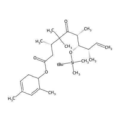 C=C[C@H](C)[C@H](O[Si](C)(C)C(C)(C)C)[C@@H](C)C(=O)C(C)(C)[C@@H](C)CC(=O)OC1CC=C(C)C=C1C